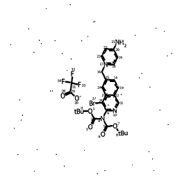 CC(C)(C)OC(=O)N(C(=O)OC(C)(C)C)c1ncc2ccc(C[n+]3ccc(N)cc3)cc2c1Br.O=C([O-])C(F)(F)F